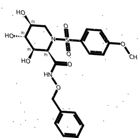 COc1ccc(S(=O)(=O)N2C[C@H](O)[C@@H](O)[C@H](O)[C@@H]2C(=O)NOCc2ccccc2)cc1